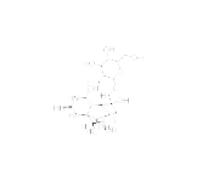 N=C1NC(O)C2[C@@H]3O[C@]4(O)OC([C@@H](O)C2(N1)[C@@H]4O)C3(O)COC1OC(CO)C(O)C(O)C1O